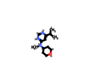 CC(C)c1cc(N(C)C2CCOCC2)ncn1